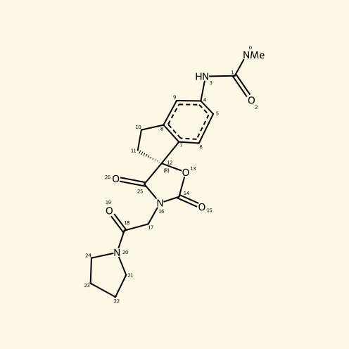 CNC(=O)Nc1ccc2c(c1)CC[C@@]21OC(=O)N(CC(=O)N2CCCC2)C1=O